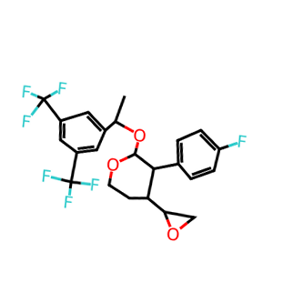 CC(OC1OCCC(C2CO2)C1c1ccc(F)cc1)c1cc(C(F)(F)F)cc(C(F)(F)F)c1